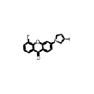 O=c1c2ccc(N3CC[C@@H](I)C3)cc2oc2c(F)cccc12